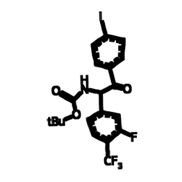 CC(C)(C)OC(=O)NC(C(=O)c1ccc(I)cc1)c1ccc(C(F)(F)F)c(F)c1